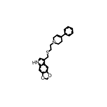 C1=C(c2ccccc2)CCN(CCSCc2c[nH]c3cc4c(cc23)OCO4)C1